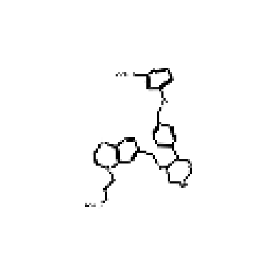 COCCCN1CCOc2ccc(COC3CNCCC3c3ccc(COc4cccc(NC(C)=O)c4)cc3)cc21